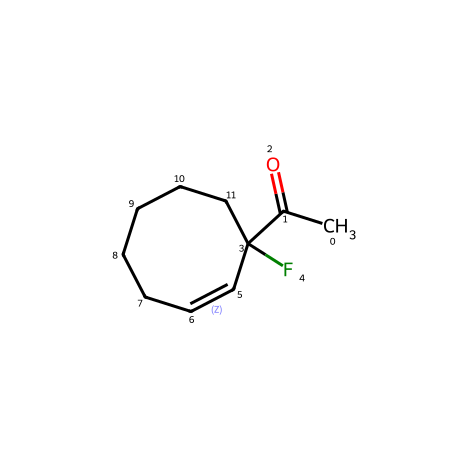 CC(=O)C1(F)/C=C\CCCCC1